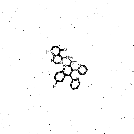 C[C@H](Nc1ncnc2[nH]ccc(=O)c12)c1nc2ccc(F)cc2c(-c2ccccn2)c1-c1ccccn1